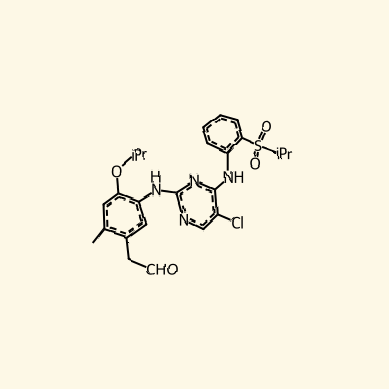 Cc1cc(OC(C)C)c(Nc2ncc(Cl)c(Nc3ccccc3S(=O)(=O)C(C)C)n2)cc1CC=O